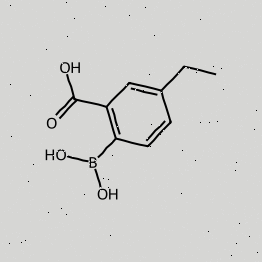 CCc1ccc(B(O)O)c(C(=O)O)c1